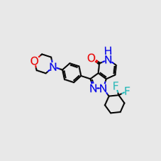 O=c1[nH]ccc2c1c(-c1ccc(N3CCOCC3)cc1)nn2C1CCCCC1(F)F